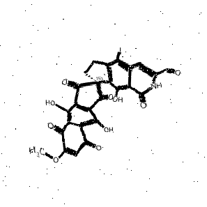 COC1=CC(=O)c2c(O)c3c(c(O)c2C1=O)C(=O)[C@]1(CCc2c1c(O)c1c(=O)[nH]c(C=O)cc1c2I)C3=O